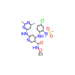 CCONC(=O)c1cnc(Nc2cc(C)nc(C)n2)cc1Nc1ccc(Cl)cc1N(C)S(C)(=O)=O